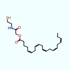 CC/C=C\C/C=C\C/C=C\C/C=C\C/C=C\CCCC(=O)OCC(=O)NCCS